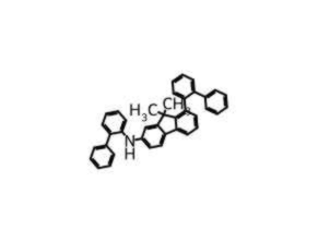 CC1(C)c2cc(Nc3ccccc3-c3ccccc3)ccc2-c2cccc(-c3ccccc3-c3ccccc3)c21